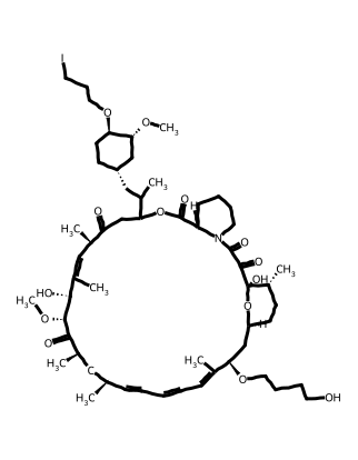 CO[C@@H]1C[C@H](CC(C)C2CC(=O)[C@H](C)/C=C(\C)[C@@H](O)[C@@H](OC)C(=O)[C@H](C)C[C@H](C)/C=C/C=C/C=C(\C)[C@H](OCCCCO)C[C@@H]3CC[C@@H](C)[C@@](O)(O3)C(=O)C(=O)N3CCCC[C@H]3C(=O)O2)CC[C@H]1OCCCI